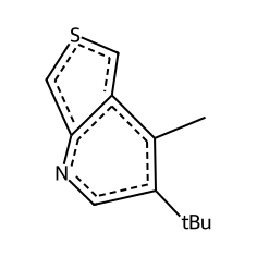 Cc1c(C(C)(C)C)cnc2cscc12